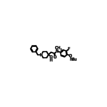 CCCCOc1ccc(N(C)C(=O)CC2(O)CCN(Cc3ccccc3)CC2)cc1F